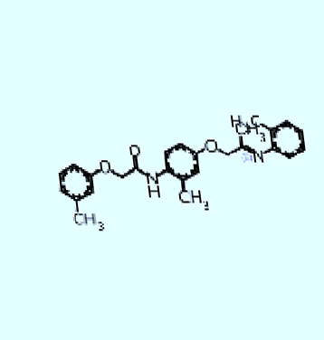 C/C(COc1ccc(NC(=O)COc2cccc(C)c2)c(C)c1)=N\c1ccccc1C